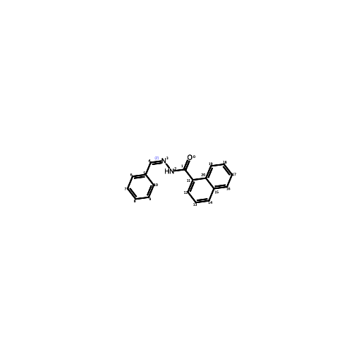 O=C(N/N=C\c1ccccc1)c1cccc2ccccc12